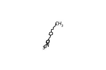 CCCCCCC1CCC(CCc2ccc(N=C=S)cc2)CC1